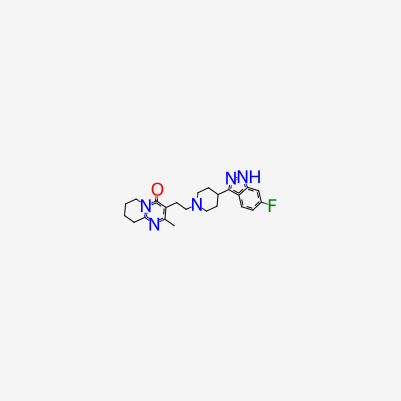 Cc1nc2n(c(=O)c1CCN1CCC(c3n[nH]c4cc(F)ccc34)CC1)CCCC2